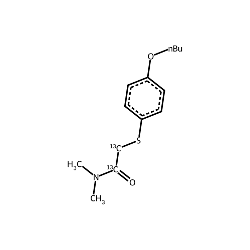 CCCCOc1ccc(S[13CH2][13C](=O)N(C)C)cc1